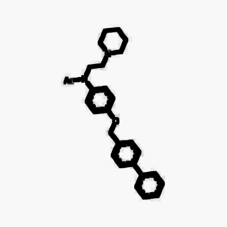 CC(=O)N(CCN1CCCCC1)c1ccc(OCc2ccc(-c3ccccc3)cc2)cc1